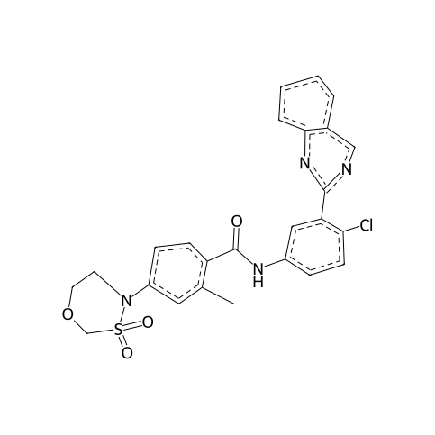 Cc1cc(N2CCOCS2(=O)=O)ccc1C(=O)Nc1ccc(Cl)c(-c2ncc3ccccc3n2)c1